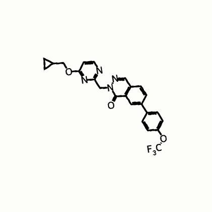 O=c1c2cc(-c3ccc(OC(F)(F)F)cc3)ccc2cnn1Cc1nccc(OCC2CC2)n1